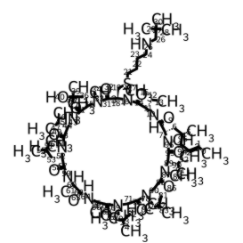 C/C=C/C[C@@H](C)C[C@H]1C(=O)N[C@@H](CC)C(=O)N(C)[C@H](CSCCCCNCC(C)(C)C)C(=O)N(C)[C@@H](CC(C)(C)O)C(=O)N[C@@H](C(C)C)C(=O)N(C)[C@@H](CC(C)C)C(=O)N[C@@H](C)C(=O)N[C@H](C)C(=O)N(C)[C@@H](CC(C)C)C(=O)N(C)[C@@H](CC(C)C)C(=O)N(C)[C@@H](C(C)C)C(=O)N1C